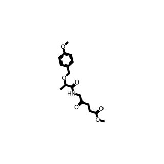 COC(=O)CCC(=O)CNC(=O)C(C)OCc1ccc(OC)cc1